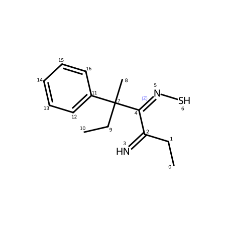 CCC(=N)/C(=N\S)C(C)(CC)c1ccccc1